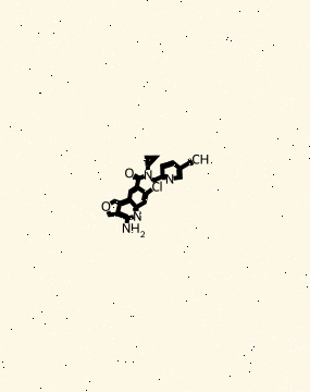 C#Cc1ccc(CN(C(=O)c2cc3c4c(c(N)nc3cc2Cl)COC4)C2CC2)nc1